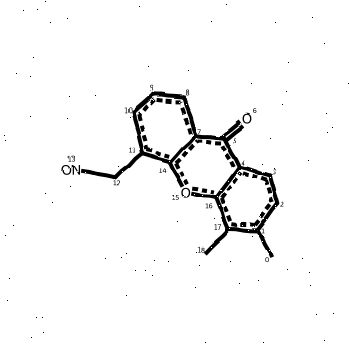 Cc1ccc2c(=O)c3cccc(CN=O)c3oc2c1C